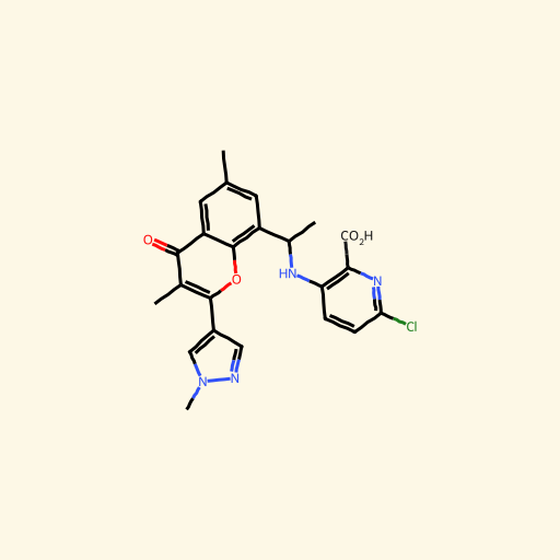 Cc1cc(C(C)Nc2ccc(Cl)nc2C(=O)O)c2oc(-c3cnn(C)c3)c(C)c(=O)c2c1